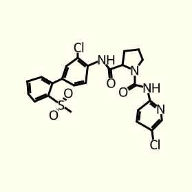 CS(=O)(=O)c1ccccc1-c1ccc(NC(=O)C2CCCN2C(=O)Nc2ccc(Cl)cn2)c(Cl)c1